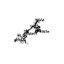 CNC(=O)CCC(=O)OC1CN(C(=O)CCCCCNC(=O)O[C@H]2CC[C@@]3(C)C(=CCC4C3CC[C@@]3(C)C4CC[C@@H]3C(C)CCCC(C)C)C2)CC1COC(c1ccccc1)(c1ccc(OC)cc1)c1ccc(OC)cc1